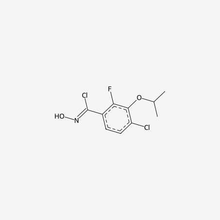 CC(C)Oc1c(Cl)ccc(/C(Cl)=N/O)c1F